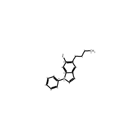 CCCCc1cc2ccn(-c3ccccc3)c2cc1F